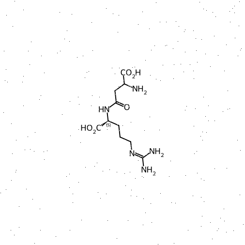 NC(N)=NCCC[C@H](NC(=O)CC(N)C(=O)O)C(=O)O